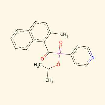 Cc1ccc2ccccc2c1C(=O)P(=O)(OC(C)C)c1ccncc1